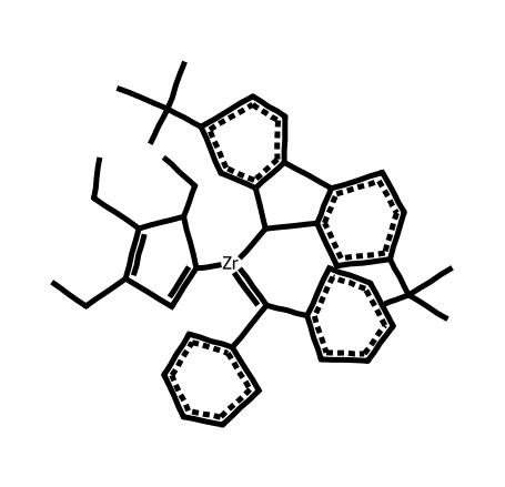 CCC1=C(CC)C(CC)[C]([Zr](=[C](c2ccccc2)c2ccccc2)[CH]2c3cc(C(C)(C)C)ccc3-c3ccc(C(C)(C)C)cc32)=C1